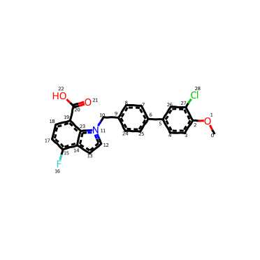 COc1ccc(-c2ccc(Cn3ccc4c(F)ccc(C(=O)O)c43)cc2)cc1Cl